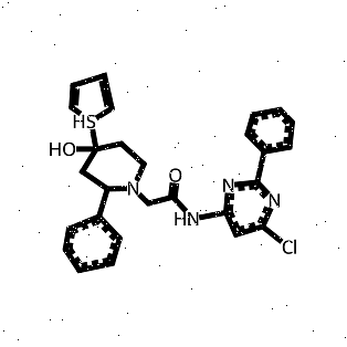 O=C(CN1CCC(O)([SH]2C=CC=C2)CC1c1ccccc1)Nc1cc(Cl)nc(-c2ccccc2)n1